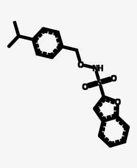 CC(C)c1ccc(CONS(=O)(=O)c2cc3ccccc3o2)cc1